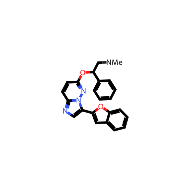 CNCC(Oc1ccc2ncc(-c3cc4ccccc4o3)n2n1)c1ccccc1